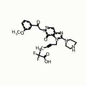 CC#CCn1c(N2CCNCC2)nc2cnn(CC(=O)c3cccc(OC)c3)c(=O)c21.O=C(O)C(F)(F)F